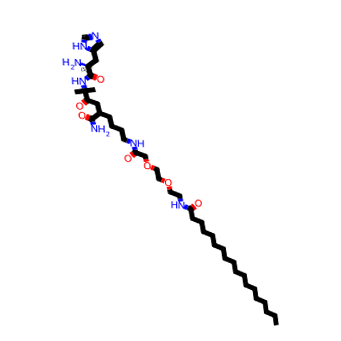 CCCCCCCCCCCCCCCCCC(=O)NCCOCCOCC(=O)NCCCCC(CC(=O)C(C)(C)NC(=O)[C@@H](N)Cc1cnc[nH]1)C(N)=O